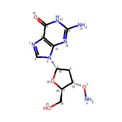 NO[C@H]1C[C@@H](n2cnc3c(=O)[nH]c(N)nc32)O[C@@H]1CO